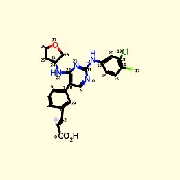 O=C(O)/C=C/c1cccc(-c2cnc(Nc3ccc(F)c(Cl)c3)nc2N[C@H]2CCOC2)c1